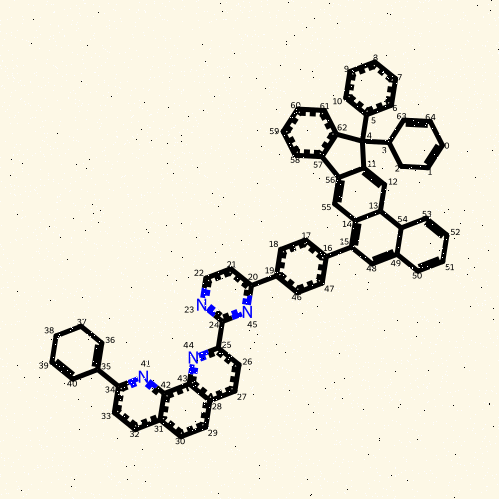 C1=CCC(C2(c3ccccc3)C3=CC4C(=C(c5ccc(-c6ccnc(-c7ccc8ccc9ccc(C%10=CCCC=C%10)nc9c8n7)n6)cc5)C=C5C=CC=CC54)C=C3c3ccccc32)C=C1